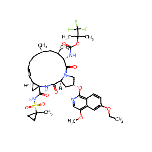 CCOc1ccc2c(O[C@@H]3C[C@H]4C(=O)N[C@]5(C(=O)NS(=O)(=O)C6(C)CC6)C[C@H]5/C=C\CC[C@H](C)C[C@@H](C)[C@H](NC(=O)OC(C)(C)C(F)(F)F)C(=O)N4C3)ncc(OC)c2c1